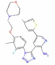 Cc1csc(-c2cnc(N)c(-c3nnnn3-c3ccc(OCCN4CCOCC4)c(C)c3F)c2)c1